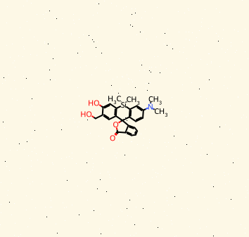 CN(C)c1ccc2c(c1)[Si](C)(C)c1cc(O)c(CO)cc1C21OC(=O)c2ccccc21